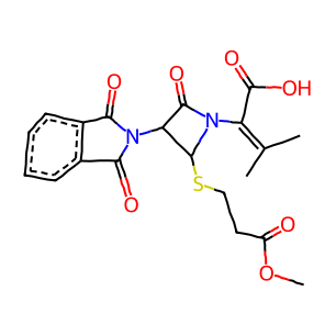 COC(=O)CCSC1C(N2C(=O)c3ccccc3C2=O)C(=O)N1C(C(=O)O)=C(C)C